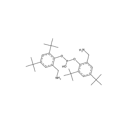 CC(C)(C)c1cc(CN)c(OP(O)Oc2c(CN)cc(C(C)(C)C)cc2C(C)(C)C)c(C(C)(C)C)c1